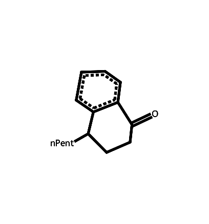 CCCCCC1CCC(=O)c2ccccc21